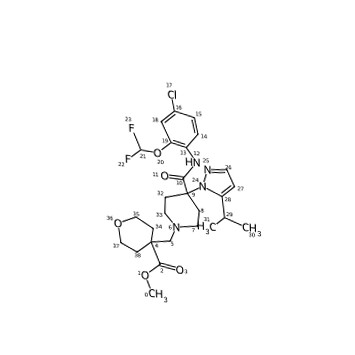 COC(=O)C1(CN2CCC(C(=O)Nc3ccc(Cl)cc3OC(F)F)(n3nccc3C(C)C)CC2)CCOCC1